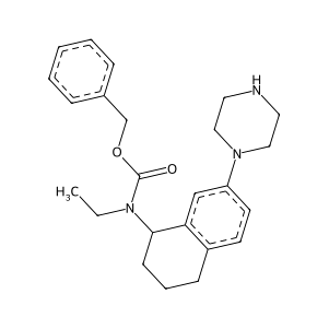 CCN(C(=O)OCc1ccccc1)C1CCCc2ccc(N3CCNCC3)cc21